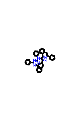 c1ccc(-c2nc(-c3ccccc3)nc(N(c3ccccc3)c3c(-c4ccccc4)nn4c(-c5ccccc5)cc5ccccc5c34)n2)cc1